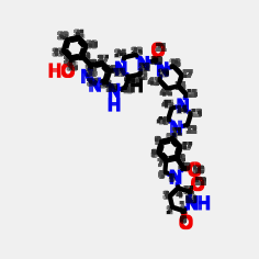 O=C1CCC(N2Cc3ccc(N4CCN(CC5CCN(C(=O)N6CCN7c8cc(-c9ccccc9O)nnc8NC[C@H]7C6)CC5)CC4)cc3C2=O)C(=O)N1